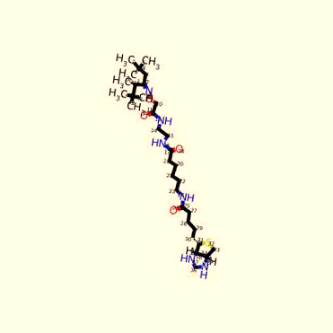 C[C@@H](C(CC(C)(C)C)=NOCC(=O)NCCNC(=O)CCCCCNC(=O)CCCC[C@@H]1SC[C@@H]2NCN[C@@H]21)C(C)(C)C